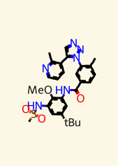 COc1c(NC(=O)c2ccc(C)c(-n3nncc3-c3cccnc3C)c2)cc(C(C)(C)C)cc1NS(C)(=O)=O